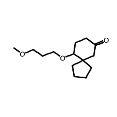 COCCCOC1CCC(=O)CC12CCCC2